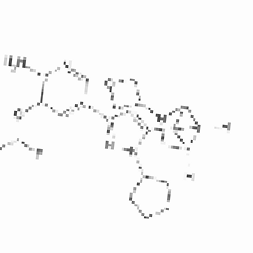 Nc1ncc(-c2cc(C34C5[C@H]3[C@H]4CN5C3COC3)n(C3CCCC3)n2)cc1OC(F)F